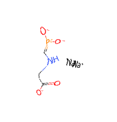 O=C([O-])CNC=[P+]([O-])[O-].[Na+].[Na+]